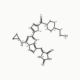 O=C1NC(=O)/C(=C/c2cnn3c(NC4CC4)cc(-c4ccc(C(=O)N5CCN(CCO)CC5)s4)nc23)N1